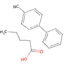 CCCCC(=O)O.N#Cc1ccc(-c2ccccc2)cc1